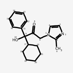 Cc1nccn1CC(=O)C(O)(c1ccccc1)C1CCCCC1